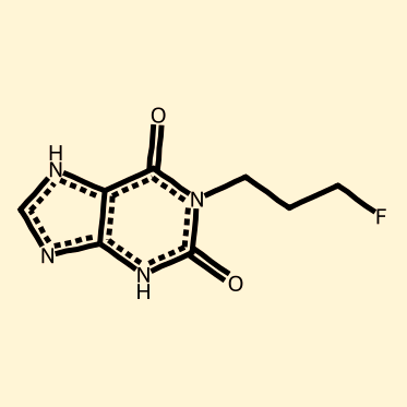 O=c1[nH]c2nc[nH]c2c(=O)n1CCCF